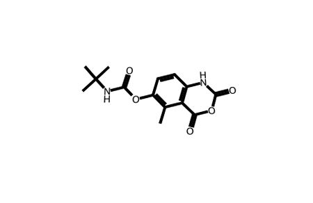 Cc1c(OC(=O)NC(C)(C)C)ccc2[nH]c(=O)oc(=O)c12